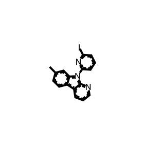 Cc1ccc2c3cccnc3n(-c3cccc(I)n3)c2c1